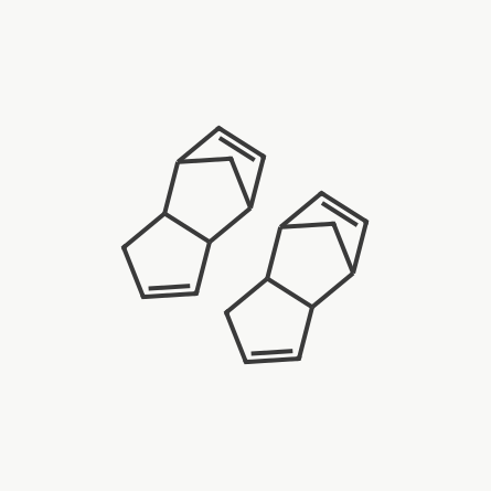 C1=CC2C3C=CC(C3)C2C1.C1=CC2C3C=CC(C3)C2C1